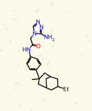 CCC1CC2CC(C1)CC(C)(c1ccc(NC(=O)Cn3cnnc3N)cc1)C2